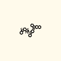 c1ccc2cc3c(cc2c1)c1ccccc1n3-c1ccc2c3ccccc3n(-c3nc4c(ccc5sc6ccccc6c54)s3)c2c1